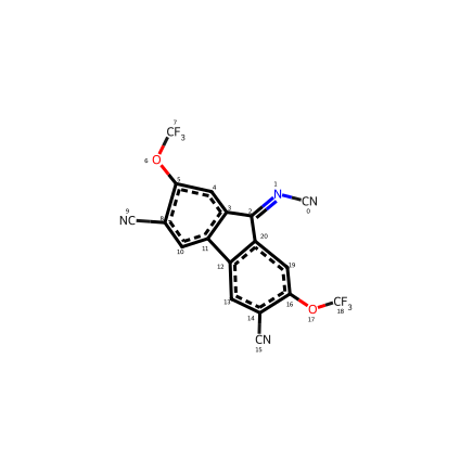 N#CN=C1c2cc(OC(F)(F)F)c(C#N)cc2-c2cc(C#N)c(OC(F)(F)F)cc21